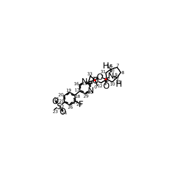 CC1(OC(=O)N2[C@H]3CC[C@H]2CC(COc2ncc(-c4ccc(S(C)(=O)=O)cc4F)cn2)C3)CC1